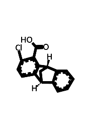 O=C(O)c1c(Cl)ccc2c1[C@H]1C[C@H]2c2ccccc21